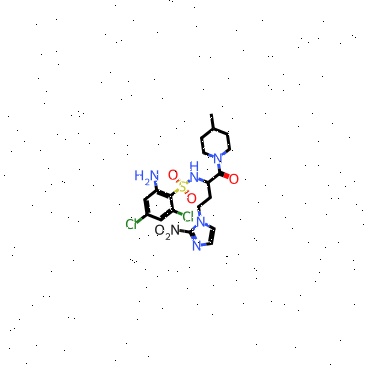 CC1CCN(C(=O)C(CCn2ccnc2[N+](=O)[O-])NS(=O)(=O)c2c(N)cc(Cl)cc2Cl)CC1